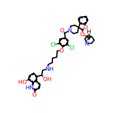 O=C(c1cc(Cl)c(OCCCCCNCC(O)c2ccc(O)c3[nH]c(=O)ccc23)c(Cl)c1)N1CCC(C(=O)O[C@H]2CN3CCC2CC3)(c2ccccc2)CC1